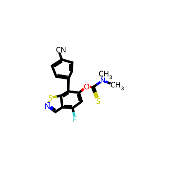 CN(C)C(=S)Oc1cc(F)c2cnsc2c1-c1ccc(C#N)cc1